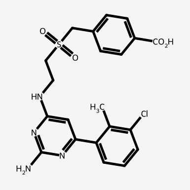 Cc1c(Cl)cccc1-c1cc(NCCS(=O)(=O)Cc2ccc(C(=O)O)cc2)nc(N)n1